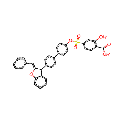 O=C(O)c1ccc(S(=O)(=O)Oc2ccc(-c3ccc(C4C(=Cc5ccccc5)Oc5ccccc54)cc3)cc2)cc1O